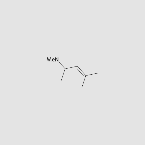 CNC(C)C=C(C)C